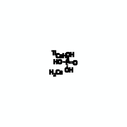 O=P(O)(O)O.[CaH2].[CaH2].[Ti]